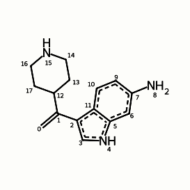 C=C(c1c[nH]c2cc(N)ccc12)C1CCNCC1